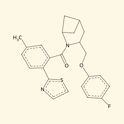 Cc1ccc(-c2nccs2)c(C(=O)N2C(COc3ccc(F)cc3)CC3CC2C3)c1